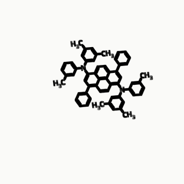 Cc1cccc(N(c2cc(C)cc(C)c2)c2cc(-c3ccccc3)c3ccc4c(N(c5cccc(C)c5)c5cc(C)cc(C)c5)cc(-c5ccccc5)c5ccc2c3c54)c1